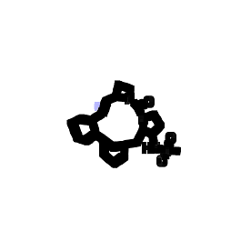 CS(=O)(=O)NC1CCN2C(=O)N3CCC3/C=C/c3ccccc3-c3cccc(c3)CC12